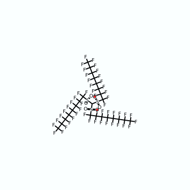 O=S(=O)(C(S(=O)(=O)C(F)(F)C(F)(F)C(F)(F)C(F)(F)C(F)(F)C(F)(F)C(F)(F)C(F)(F)F)S(=O)(=O)C(F)(F)C(F)(F)C(F)(F)C(F)(F)C(F)(F)C(F)(F)C(F)(F)C(F)(F)F)C(F)(F)C(F)(F)C(F)(F)C(F)(F)C(F)(F)C(F)(F)C(F)(F)C(F)(F)F